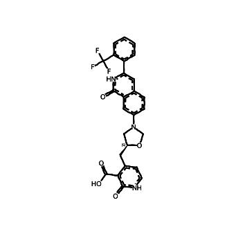 O=C(O)c1c(C[C@H]2CN(c3ccc4cc(-c5ccccc5C(F)(F)F)[nH]c(=O)c4c3)CO2)cc[nH]c1=O